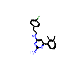 Cc1cccc(-c2cc(NCCc3ccc(F)cc3)nc(N)n2)c1C